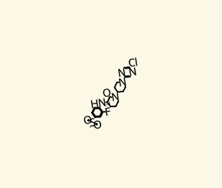 CS(=O)(=O)c1ccc(N[C@H]2CCCN(C3CCN(c4cnc(Cl)cn4)CC3)C2=O)c(F)c1